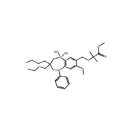 CCCCC1(CCCC)CN(c2ccccc2)c2cc(SC)c(CSC(C)(C)C(=O)OC)cc2S(O)(O)C1